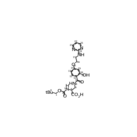 CC(C)(C)COC(=O)N[C@@H](CNC(=O)c1ccc(OCCNc2ncccn2)cc1O)C(=O)O